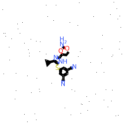 CCC(OC(N)=O)c1nc(C2CC2)c(Sc2cc(C#N)cc(C#N)c2)[nH]1